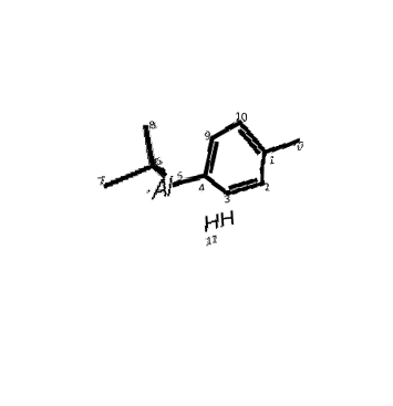 Cc1cc[c]([Al][CH](C)C)cc1.[HH]